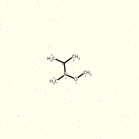 CON(C)C(C)C